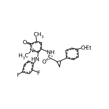 CCOc1ccc(C2CC2[S+]([O-])Nc2cc(C)c(=O)n(C)c2Nc2ccc(I)cc2F)cc1